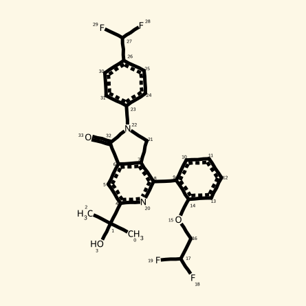 CC(C)(O)c1cc2c(c(-c3ccccc3OCC(F)F)n1)CN(c1ccc(C(F)F)cc1)C2=O